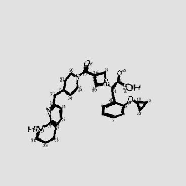 O=C(O)[C@H](c1ccccc1OC1CC1)N1CC(C(=O)N2CCC(Cc3ccc4c(n3)NCCC4)CC2)C1